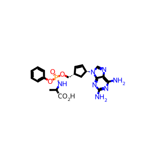 CC(NP(=O)(OC[C@@H]1C=C[C@H](n2cnc3c(N)nc(N)nc32)C1)Oc1ccccc1)C(=O)O